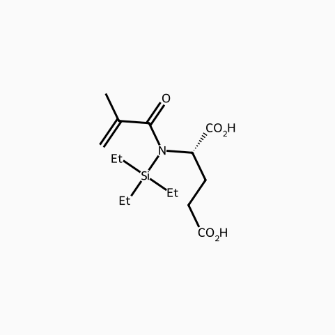 C=C(C)C(=O)N([C@@H](CCC(=O)O)C(=O)O)[Si](CC)(CC)CC